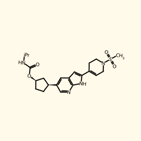 CC(C)NC(=O)O[C@@H]1CC[C@H](c2cnc3[nH]c(C4=CCN(S(C)(=O)=O)CC4)cc3c2)C1